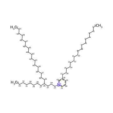 CCCCCCCCCCCCCCCCCCc1ccc[n+](CCCC(CCCCCCCC)CCCCCCCCCCCCCCCCCC)c1